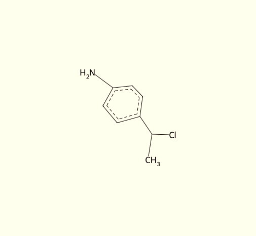 CC(Cl)c1ccc(N)cc1